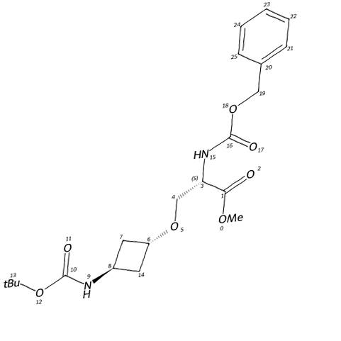 COC(=O)[C@H](CO[C@H]1C[C@H](NC(=O)OC(C)(C)C)C1)NC(=O)OCc1ccccc1